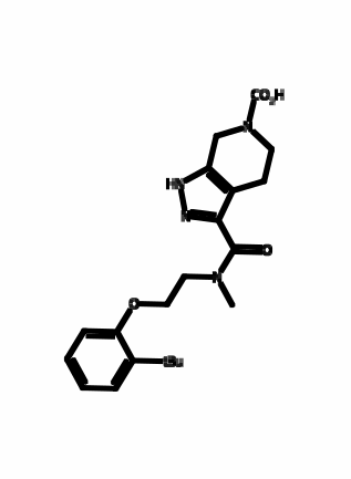 CN(CCOc1ccccc1C(C)(C)C)C(=O)c1n[nH]c2c1CCN(C(=O)O)C2